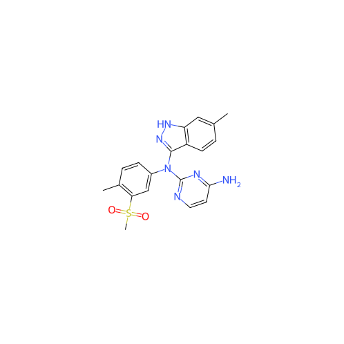 Cc1ccc2c(N(c3ccc(C)c(S(C)(=O)=O)c3)c3nccc(N)n3)n[nH]c2c1